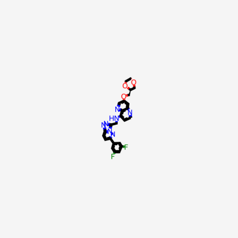 Fc1cc(F)cc(-c2ccc3nnc(CNc4ccnc5cc(OC[C@@H]6COCCO6)cnc45)n3n2)c1